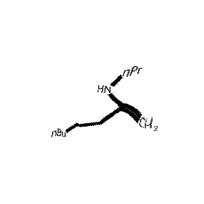 C=C(CCCCCC)NCCC